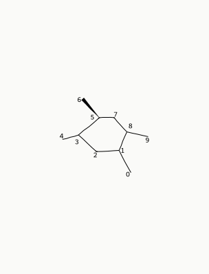 CC1CC(C)[C@@H](C)CC1C